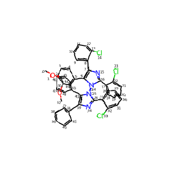 COc1ccc(-c2c(-c3ccccc3Cl)nc(-c3ccccc3Cl)n2-n2c(-c3ccccc3Cl)nc(-c3ccccc3)c2-c2ccccc2)cc1OC